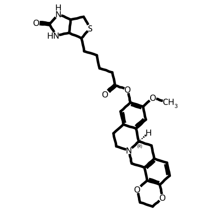 COc1cc2c(cc1OC(=O)CCCCC1SCC3NC(=O)NC31)CCN1Cc3c(ccc4c3OCCO4)C[C@H]21